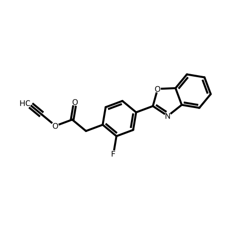 C#COC(=O)Cc1ccc(-c2nc3ccccc3o2)cc1F